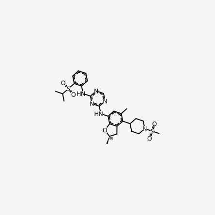 Cc1cc(Nc2ncnc(Nc3ccccc3S(=O)(=O)C(C)C)n2)c2c(c1C1CCN(S(C)(=O)=O)CC1)C[C@@H](C)O2